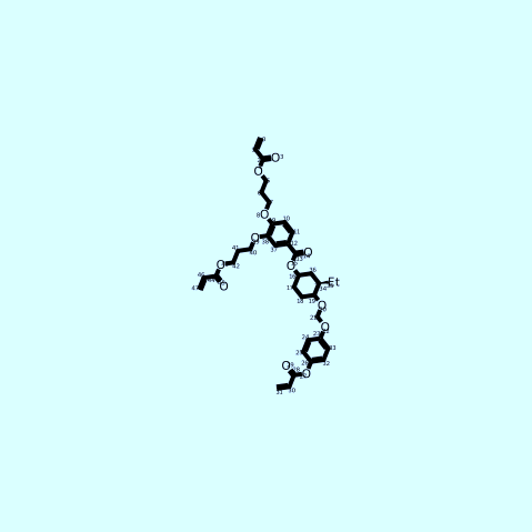 C=CC(=O)OCCCOc1ccc(C(=O)OC2CCC(OCOc3ccc(OC(=O)C=C)cc3)[C@H](CC)C2)cc1OCCCOC(=O)C=C